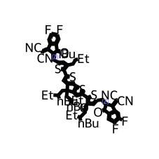 CCCCC(CC)COc1cc(/C=C2\C(=O)c3cc(F)c(F)cc3C2=C(C#N)C#N)sc1-c1cc2c(s1)-c1sc(-c3sc(/C=C4\C(=O)c5cc(F)c(F)cc5C4=C(C#N)C#N)cc3CC(CC)CCCC)cc1C2(CC(CC)CCCC)CC(CC)CCCC